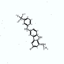 CNc1cc(F)cc2c1[nH]c1ccc(Nc3cccc(C(F)(F)F)c3)cc12